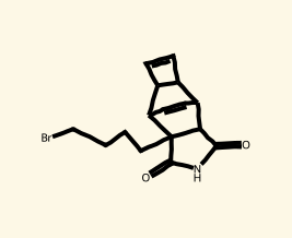 O=C1NC(=O)C2(CCCCBr)C3C=CC(C4C=CC43)C12